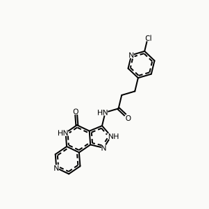 O=C(CCc1ccc(Cl)nc1)Nc1[nH]nc2c1c(=O)[nH]c1cnccc12